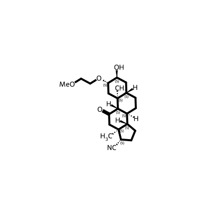 COCCO[C@H]1C[C@@]2(C)[C@@H](CC[C@H]3[C@@H]4CC[C@H](C#N)[C@@]4(C)CC(=O)[C@@H]32)C[C@@H]1O